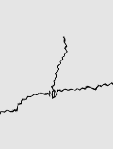 CCCCCCCCCCCCCCCCCCCC1N(CCCCCCCCCCCCCCCCCC)C=CN1CCCCCCCCCCCCCCCCCC